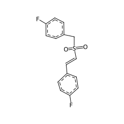 O=S(=O)(C=Cc1ccc(F)cc1)Cc1ccc(F)cc1